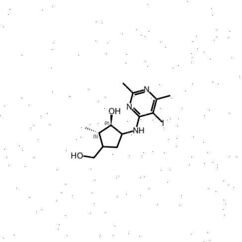 Cc1nc(C)c(I)c(NC2CC(CO)[C@H](C)[C@H]2O)n1